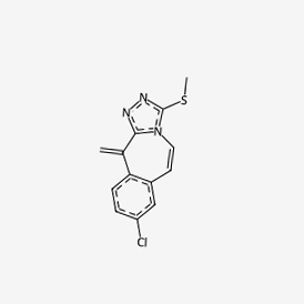 C=C1c2ccc(Cl)cc2C=Cn2c(SC)nnc21